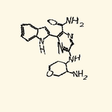 NC(=O)c1ncc(NC2CCOCC2N)nc1-c1cc2ccccc2[nH]1